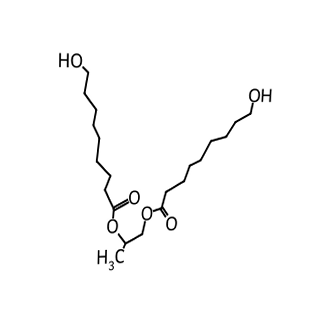 CC(COC(=O)CCCCCCCCO)OC(=O)CCCCCCCCO